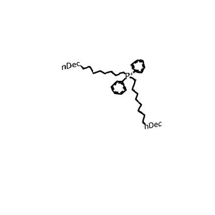 CCCCCCCCCCCCCCCCCC[P+](CCCCCCCCCCCCCCCCCC)(c1ccccc1)c1ccccc1